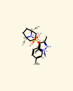 CCCCc1ccc(O[C@@H]2C[C@H]3CC[C@@H](C2)N3S(=O)(=O)c2c(C)nn(C)c2C)cc1